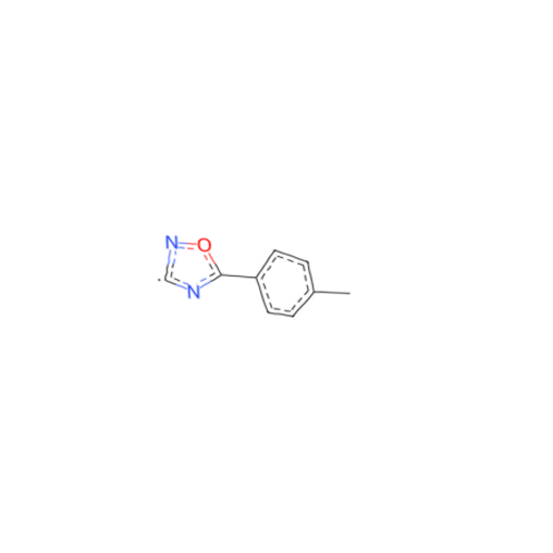 Cc1ccc(-c2n[c]no2)cc1